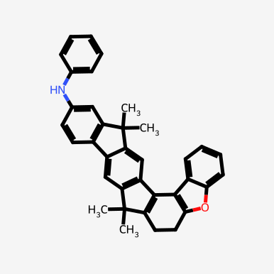 CC1(C)C2=C(c3cc4c(cc31)-c1ccc(Nc3ccccc3)cc1C4(C)C)c1c(oc3ccccc13)CC2